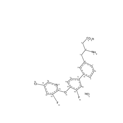 Cl.NC(CC(=O)O)Cc1cccc(-c2ccc(Oc3ncc(Cl)cc3F)c(F)c2)c1